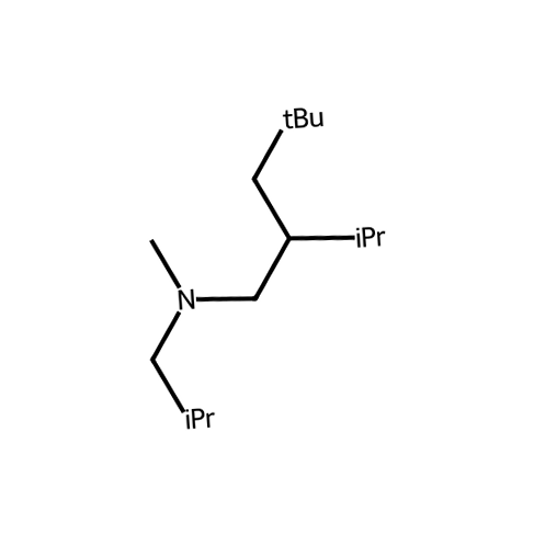 CC(C)CN(C)CC(CC(C)(C)C)C(C)C